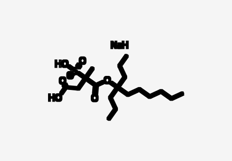 CCCCCCC(CCC)(CCC)OC(=O)C(C)(CC(=O)O)S(=O)(=O)O.[NaH]